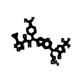 COC[C@H](c1cnn2cc([C@H](NC(=O)c3nonc3C3CC3)C3CCC(=C(F)F)CC3)nc2c1)N1CC(C(F)(F)F)=NC1=O